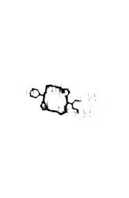 CCCC(CCC)c1c2nc(cc3ccc([nH]3)c(C3CCOCC3)c3nc(cc4ccc1[nH]4)C=C3)C=C2